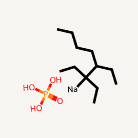 CCCCC(CC)[C]([Na])(CC)CC.O=P(O)(O)O